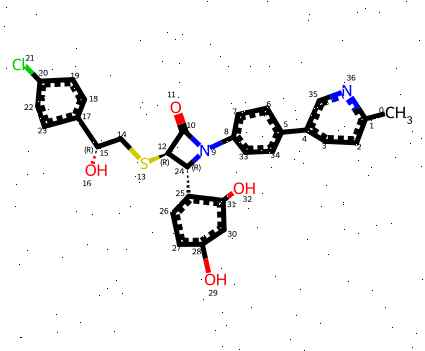 Cc1ccc(-c2ccc(N3C(=O)[C@H](SC[C@H](O)c4ccc(Cl)cc4)[C@H]3c3ccc(O)cc3O)cc2)cn1